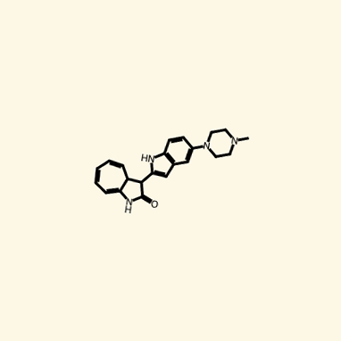 CN1CCN(c2ccc3[nH]c(C4C(=O)NC5=CC=CC=CC54)cc3c2)CC1